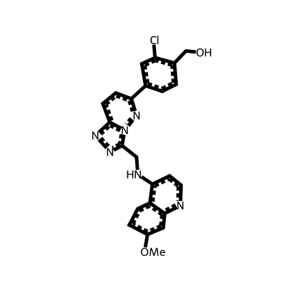 COc1ccc2c(NCc3nnc4ccc(-c5ccc(CO)c(Cl)c5)nn34)ccnc2c1